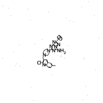 Cc1ccc2nc(Cl)c(CN3CCCN(c4nc(N)n5nc(-c6ccco6)nc5n4)CC3)cc2c1